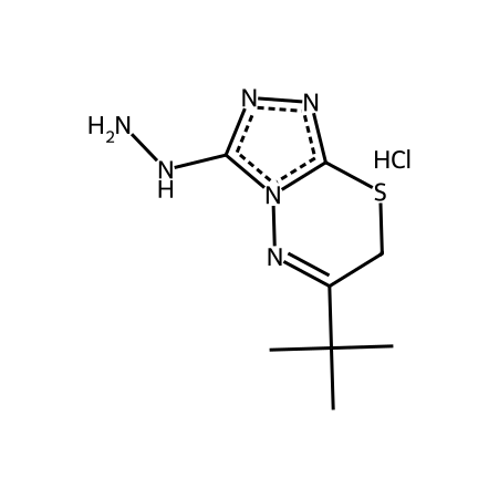 CC(C)(C)C1=Nn2c(NN)nnc2SC1.Cl